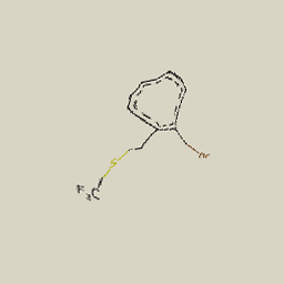 FC(F)(F)SCc1ccccc1Br